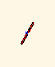 c1ccc2cc3cc4cc5cc6cc7cc([N]c8ccc9cc%10cc%11cc%12cc%13cc%14ccccc%14cc%13cc%12cc%11cc%10cc9c8)ccc7cc6cc5cc4cc3cc2c1